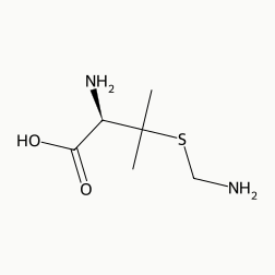 CC(C)(SCN)[C@H](N)C(=O)O